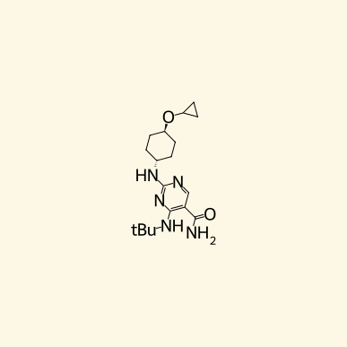 CC(C)(C)Nc1nc(N[C@H]2CC[C@H](OC3CC3)CC2)ncc1C(N)=O